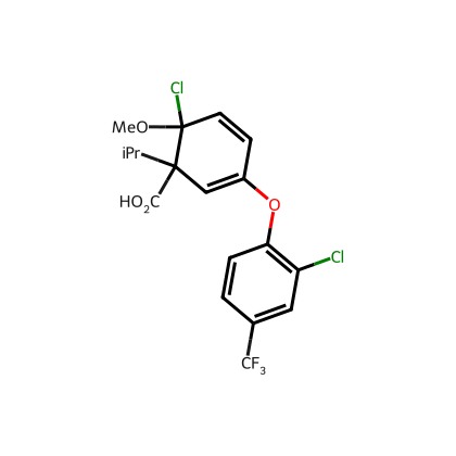 COC1(Cl)C=CC(Oc2ccc(C(F)(F)F)cc2Cl)=CC1(C(=O)O)C(C)C